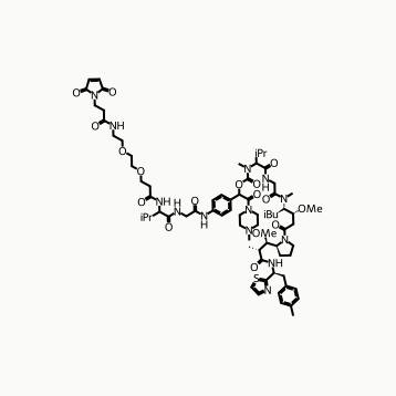 CC[C@H](C)[C@@H]([C@@H](CC(=O)N1CCC[C@H]1[C@H](OC)[C@@H](C)C(=O)N[C@@H](Cc1ccc(C)cc1)c1nccs1)OC)N(C)C(=O)CNC(=O)C(C(C)C)N(C)C(=O)OC(C(=O)N1CCN(C)CC1)c1ccc(NC(=O)CNC(=O)C(NC(=O)CCOCCOCCNC(=O)CCN2C(=O)C=CC2=O)C(C)C)cc1